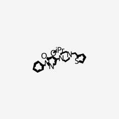 CC(C)Oc1c(N2CCN(Cc3cccs3)CC2)cnn(-c2ccccc2)c1=O